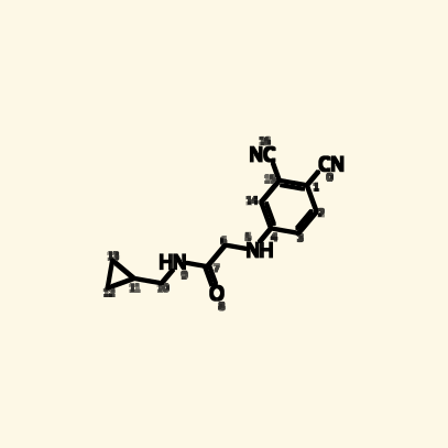 N#Cc1ccc(NCC(=O)NCC2CC2)cc1C#N